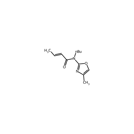 C/C=C/C(=O)N(CCCC)c1nc(C)co1